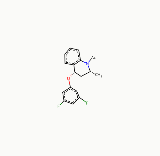 CC(=O)N1c2ccccc2[C@@H](Oc2cc(F)cc(F)c2)C[C@H]1C